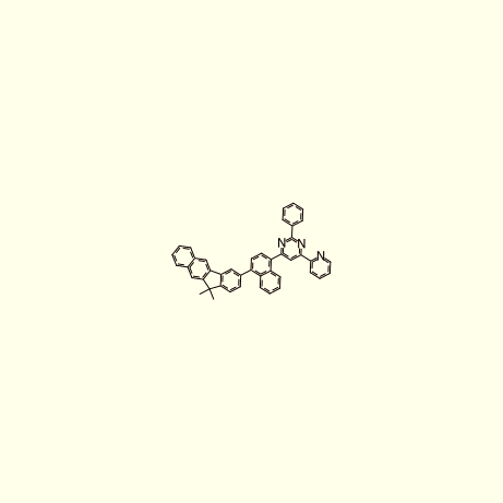 CC1(C)c2ccc(-c3ccc(-c4cc(-c5ccccn5)nc(-c5ccccc5)n4)c4ccccc34)cc2-c2cc3ccccc3cc21